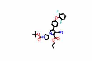 CCCOC(=O)c1c(C#N)c(-c2ccc(Oc3c(F)cccc3F)cc2)cn1[C@@H]1CCN(C(=O)OC(C)(C)C)C1